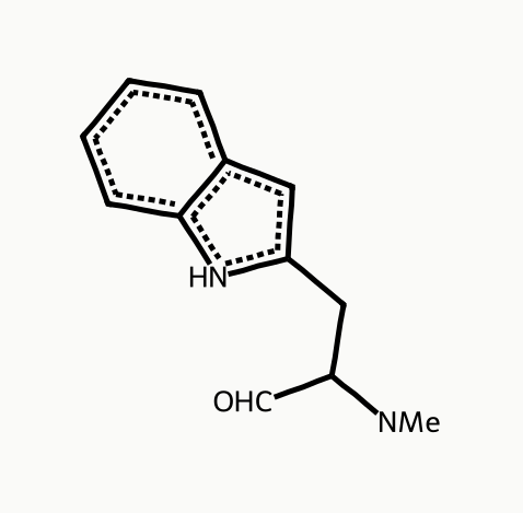 CNC(C=O)Cc1cc2ccccc2[nH]1